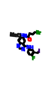 COc1cc2ncnc(Nc3ccc(F)c(CI)c3)c2cc1NC(=O)/C=C/CBr